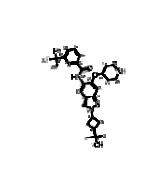 CC(C)(O)C1CC(n2cc3cc(NC(=O)c4cccc(C(F)(F)F)n4)c(OC4CCNCC4)cc3n2)C1